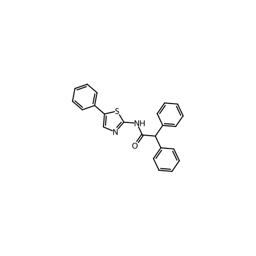 O=C(Nc1ncc(-c2ccccc2)s1)C(c1ccccc1)c1ccccc1